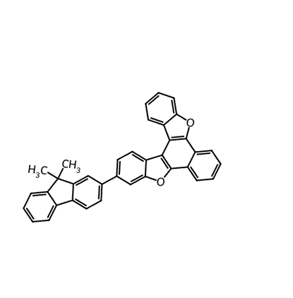 CC1(C)c2ccccc2-c2ccc(-c3ccc4c(c3)oc3c5ccccc5c5oc6ccccc6c5c43)cc21